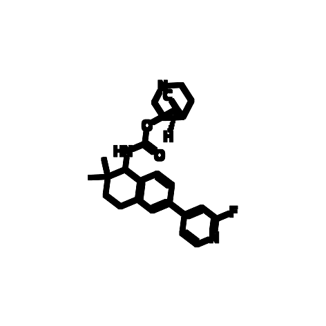 CC1(C)CCc2cc(-c3ccnc(F)c3)ccc2C1NC(=O)O[C@H]1CN2CCC1CC2